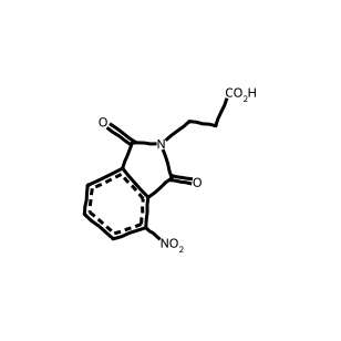 O=C(O)CCN1C(=O)c2cccc([N+](=O)[O-])c2C1=O